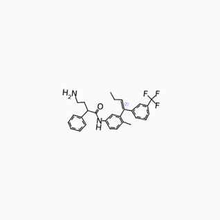 CC/C=C(/c1cccc(C(F)(F)F)c1)c1cc(NC(=O)C(CCN)c2ccccc2)ccc1C